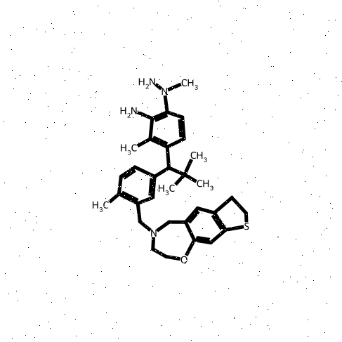 Cc1ccc(C(c2ccc(N(C)N)c(N)c2C)C(C)(C)C)cc1CN1CCOc2cc3c(cc2C1)CCS3